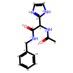 CC(=O)NC(C(=O)NCc1ccccc1)c1ncc[nH]1